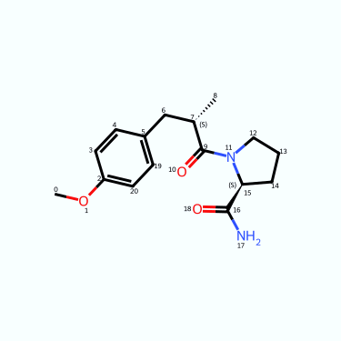 COc1ccc(C[C@H](C)C(=O)N2CCC[C@H]2C(N)=O)cc1